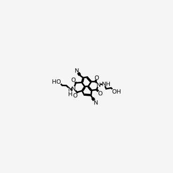 N#Cc1cc2c3c(c(C#N)cc4c3c1C(=O)N(NCCO)C4=O)C(=O)N(NCCO)C2=O